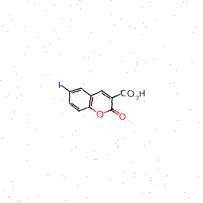 O=C(O)c1cc2cc(I)ccc2oc1=O